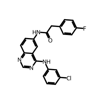 O=C(Cc1ccc(F)cc1)Nc1ccc2ncnc(Nc3cccc(Cl)c3)c2c1